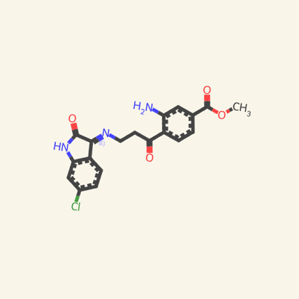 COC(=O)c1ccc(C(=O)CC/N=C2/C(=O)Nc3cc(Cl)ccc32)c(N)c1